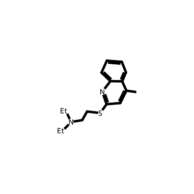 CCN(CC)CCSc1cc(C)c2ccccc2n1